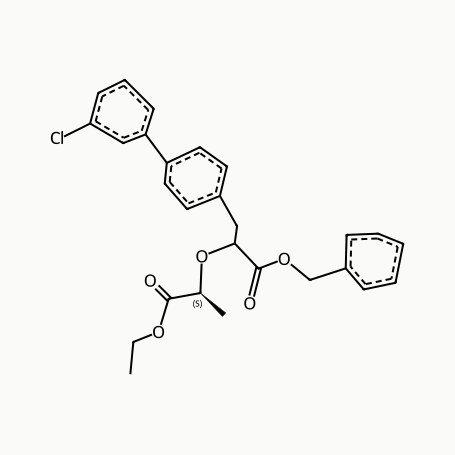 CCOC(=O)[C@H](C)OC(Cc1ccc(-c2cccc(Cl)c2)cc1)C(=O)OCc1ccccc1